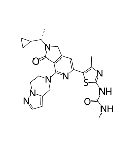 CNC(=O)Nc1nc(C)c(-c2cc3c(c(N4CCn5nccc5C4)n2)C(=O)N([C@@H](C)C2CC2)C3)s1